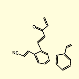 C=CC(=O)C=Cc1ccccc1C=CC#N.C=Cc1ccccc1